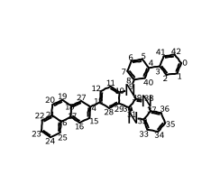 c1ccc(-c2cccc(-n3c4ccc(-c5ccc6c(ccc7ccccc76)c5)cc4c4nc5ccccc5nc43)c2)cc1